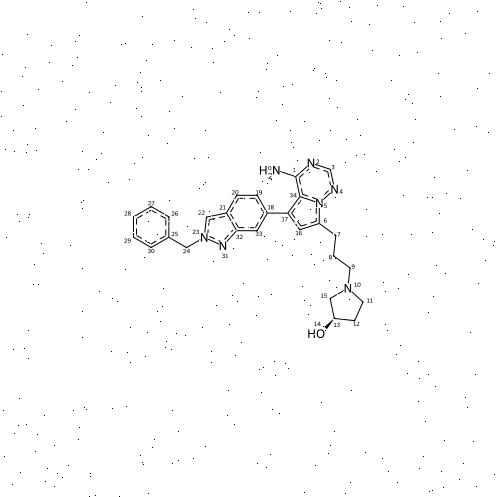 Nc1ncnn2c(CCCN3CC[C@@H](O)C3)cc(-c3ccc4cn(Cc5ccccc5)nc4c3)c12